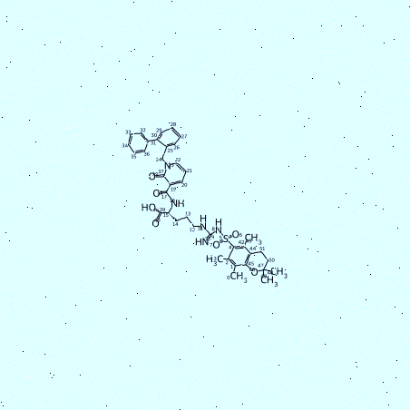 Cc1c(C)c(S(=O)(=O)NC(=N)NCCC[C@H](NC(=O)c2cccn(Cc3ccccc3-c3ccccc3)c2=O)C(=O)O)c(C)c2c1OC(C)(C)CC2